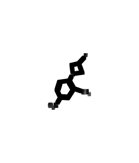 Cc1cc([N+](=O)[O-])ccc1N1CC(F)C1